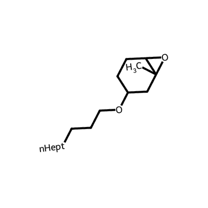 CCCCCCCCCCOC1CCC2OC2(C)C1